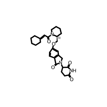 O=C1CCC(N2Cc3cc(OC[C@@H]4CCCCN4C(=O)C=C4CCCCC4)ccc3C2=O)C(=O)N1